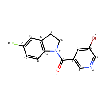 O=C(c1cncc(Br)c1)N1CCc2cc(F)ccc21